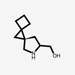 OCC1C[C@@]2(CN1)CC21CCC1